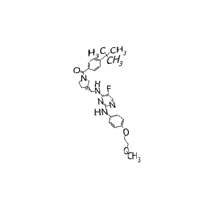 COCCOc1ccc(Nc2ncc(F)c(NC[C@H]3CCN(C(=O)c4ccc(C(C)(C)C)cc4)C3)n2)cc1